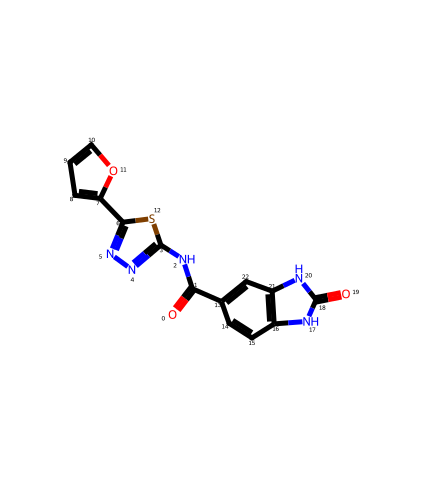 O=C(Nc1nnc(-c2ccco2)s1)c1ccc2[nH]c(=O)[nH]c2c1